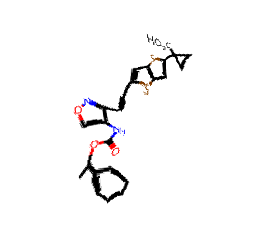 CC(OC(=O)Nc1conc1C#Cc1cc2sc(C3(C(=O)O)CC3)cc2s1)c1ccccc1